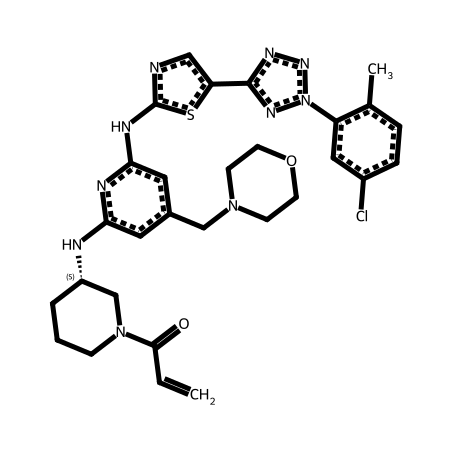 C=CC(=O)N1CCC[C@H](Nc2cc(CN3CCOCC3)cc(Nc3ncc(-c4nnn(-c5cc(Cl)ccc5C)n4)s3)n2)C1